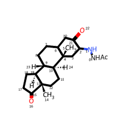 CC(=O)NNC1C[C@@]2(C)C(CC[C@@H]3[C@@H]2CC[C@]2(C)C(=O)CC[C@@H]32)CC1=O